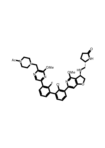 COc1nc(-c2cccc(-c3cccc(-c4cc5c(c(OC)n4)[C@@H](NC[C@@H]4CCC(=O)N4)CO5)c3Cl)c2F)cnc1CN1CCN(C(C)=O)CC1